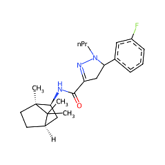 CCCN1N=C(C(=O)N[C@H]2C[C@H]3CC[C@]2(C)C3(C)C)CC1c1cccc(F)c1